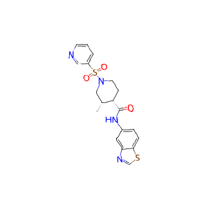 C[C@@H]1CN(S(=O)(=O)c2cccnc2)CC[C@@H]1C(=O)Nc1ccc2scnc2c1